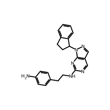 Nc1ccc(CCNc2ncc3cnn(C4CCc5ccccc54)c3n2)cc1